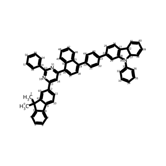 CC1(C)c2ccccc2-c2ccc(-c3cc(-c4ccc(-c5ccc(-c6ccc7c(c6)N(c6ccccc6)C6C=CC=CC76)cc5)c5ccccc45)nc(-c4ccccc4)n3)cc21